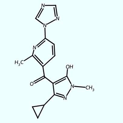 Cc1nc(-n2cncn2)ccc1C(=O)c1c(C2CC2)nn(C)c1O